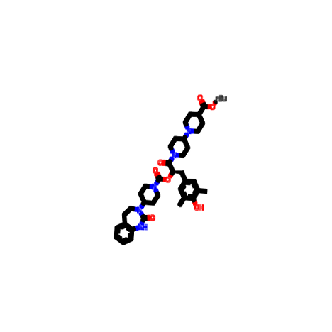 CCCCOC(=O)C1CCN(C2CCN(C(=O)[C@@H](Cc3cc(C)c(O)c(C)c3)OC(=O)N3CCC(N4CCc5ccccc5NC4=O)CC3)CC2)CC1